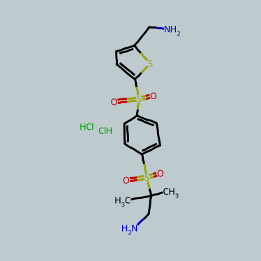 CC(C)(CN)S(=O)(=O)c1ccc(S(=O)(=O)c2ccc(CN)s2)cc1.Cl.Cl